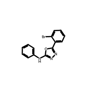 Brc1ccccc1-c1nnc(Nc2ccccc2)o1